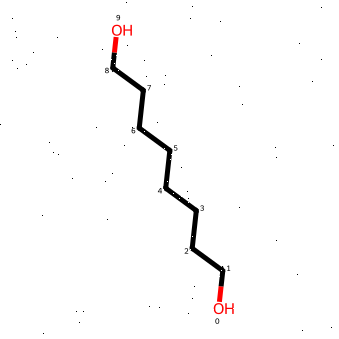 O[CH]CCCCCC[CH]O